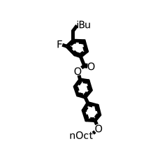 CCCCCCCCOc1ccc(-c2ccc(OC(=O)c3ccc(CC(C)CC)c(F)c3)cc2)cc1